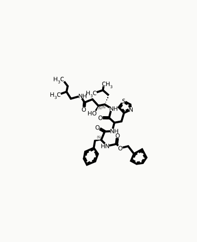 CCC(C)CNC(=O)C[C@H](O)[C@H](CC(C)C)NC(=O)C(Cc1cscn1)NC(=O)[C@H](Cc1ccccc1)NC(=O)OCc1ccccc1